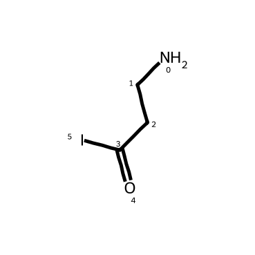 NCCC(=O)I